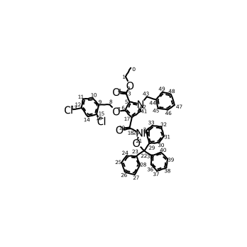 CCOC(=O)c1c(OCc2ccc(Cl)cc2Cl)c(C(=O)NOC(c2ccccc2)(c2ccccc2)c2ccccc2)cn1Cc1ccccc1